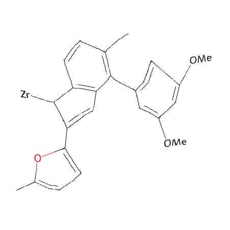 COc1cc(OC)cc(-c2c(C)ccc3c2C=C(c2ccc(C)o2)[CH]3[Zr])c1